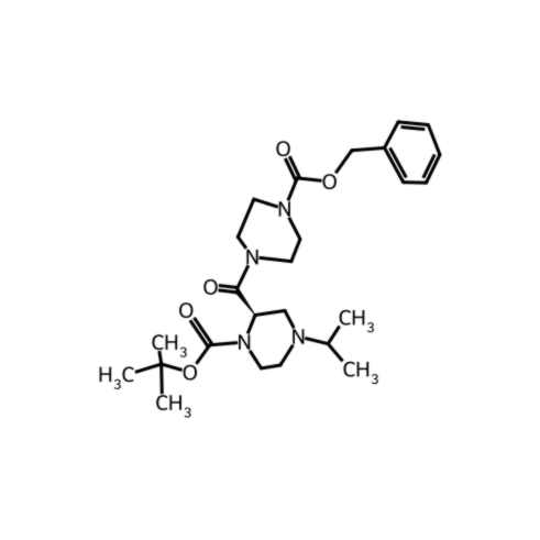 CC(C)N1CCN(C(=O)OC(C)(C)C)[C@@H](C(=O)N2CCN(C(=O)OCc3ccccc3)CC2)C1